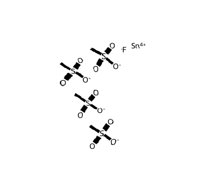 CS(=O)(=O)[O-].CS(=O)(=O)[O-].CS(=O)(=O)[O-].CS(=O)(=O)[O-].[F].[Sn+4]